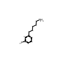 NCCCCCc1cccc(F)c1